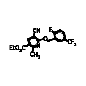 CCOC(=O)c1cc(C#N)c(OCc2cc(C(F)(F)F)ccc2F)nc1C